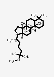 COC(C)(C)CCC[C@H](C)[C@H]1CC[C@@]2(C)[C@@H]1CC[C@@H]1[C@@]3(C)CCCC(C)(C)C3CC[C@]12C